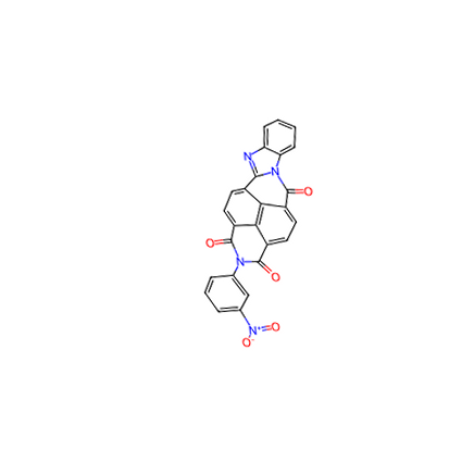 O=C1c2ccc3c(=O)n4c5ccccc5nc4c4ccc(c2c34)C(=O)N1c1cccc([N+](=O)[O-])c1